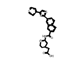 O=C(O)CC1CCOC(NC(=O)c2ccc3ccc(-c4nc(-c5ccccc5)cs4)cc3c2)C1